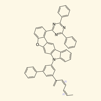 C=C(/C=C\C=C/C)c1cc(-c2ccccc2)cc(-n2c3ccccc3c3cc4c(cc32)oc2cccc(-c3nc(-c5ccccc5)nc(-c5ccccc5)n3)c24)c1